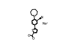 N#Cc1cc(-c2ccc(C(=O)[O-])s2)ccc1N1CCCCCC1.[Na+]